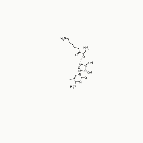 Cc1cn([C@@H]2O[C@H](COC(CN)C(=O)CCCCCN)[C@@H](O)[C@H]2O)c(=O)nc1N